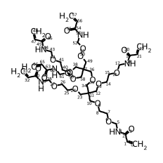 C=CC(=O)NCOCCOCC(COCCOCNC(=O)C=C)(COCCOCNC(=O)C=C)COCC(COCCOCNC(=O)C=C)(COOCNC(=O)C=C)COOCNC(=O)C=C